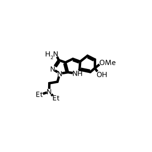 CCN(CC)CCn1nc(N)c2c1NC1=CC(O)(OC)C=CC1=C2